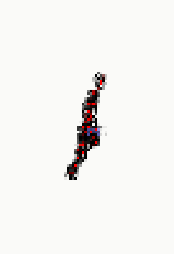 C=CC(=O)OCCCCCCOc1ccc(OC(=O)[C@H]2CC[C@H](C(=O)Oc3ccc(OC(=O)[C@H]4CC[C@H](C(=O)Oc5ccc(OCCCCCCOC(=O)C=C)cc5)CC4)c(/C=N/N(/N=C/CC)c4nc5ccccc5s4)c3)CC2)cc1